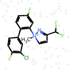 C[N+]1(c2cc(F)ccc2-c2ccc(F)c(Cl)c2)C=CC(C(F)F)=N1